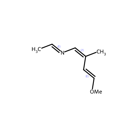 C/C=N/C=C(C)\C=C\OC